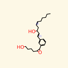 CCCCC/C=C\CC(O)/C=C/c1cccc(C2OC2CCCCO)c1